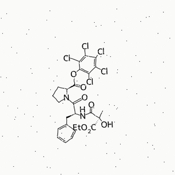 CCOC(=O)[C@](C)(O)C(=O)N[C@@H](Cc1ccccc1)C(=O)N1CCC[C@H]1C(=O)Oc1c(Cl)c(Cl)c(Cl)c(Cl)c1Cl